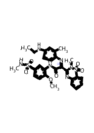 CCNc1ccc(/N=C(\C(=O)Nc2cc(S(=O)(=O)NC)ccc2OC)C2=Nc3ccccc3S(=O)(=O)N2C)c(C)c1